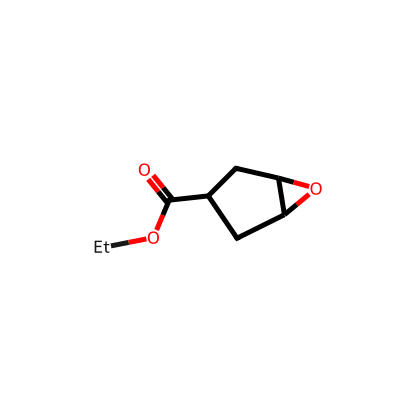 CCOC(=O)C1CC2OC2C1